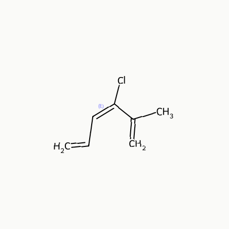 C=C/C=C(/Cl)C(=C)C